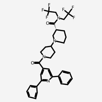 O=C(c1cc(-c2ccccc2)nc(-c2ccccc2)c1)N1CCC(N2CCC[C@@H](C(=O)N(CC(F)(F)F)CC(F)(F)F)C2)CC1